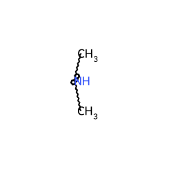 CCCCCCCCCCC=CCc1cccc2c1[nH]c1ccc(CCCCCCCCCC)cc12